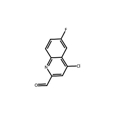 O=Cc1cc(Cl)c2cc(F)ccc2n1